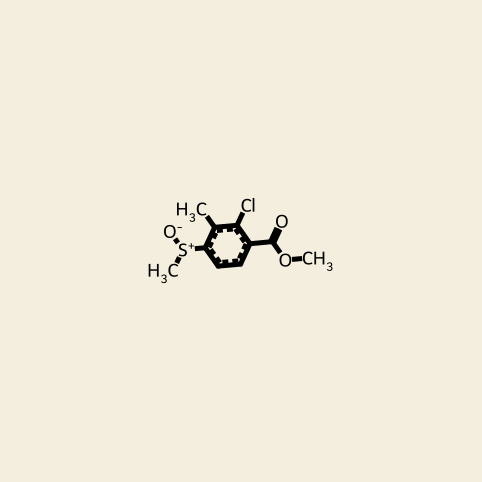 COC(=O)c1ccc([S+](C)[O-])c(C)c1Cl